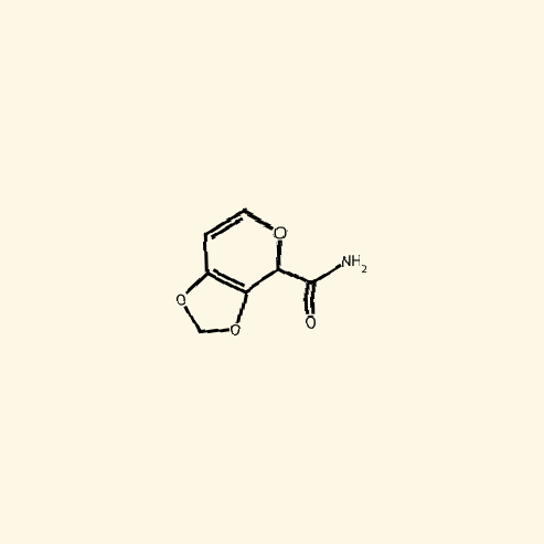 NC(=O)C1OC=CC2=C1OCO2